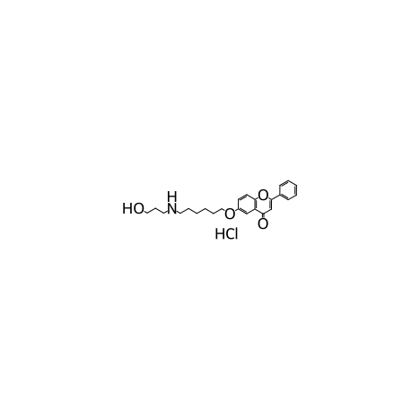 Cl.O=c1cc(-c2ccccc2)oc2ccc(OCCCCCCNCCCO)cc12